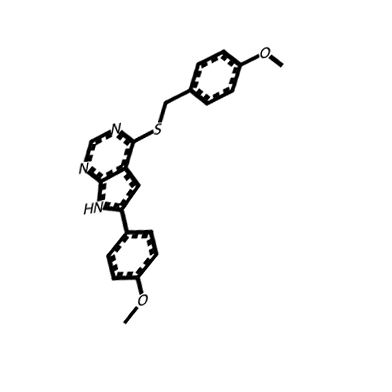 COc1ccc(CSc2ncnc3[nH]c(-c4ccc(OC)cc4)cc23)cc1